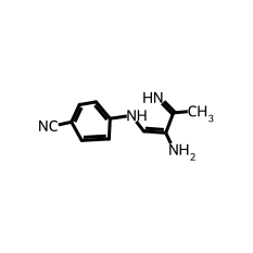 CC(=N)/C(N)=C\Nc1ccc(C#N)cc1